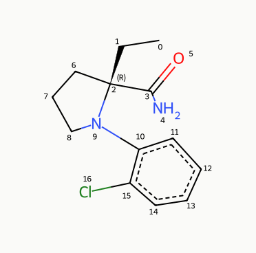 CC[C@]1(C(N)=O)CCCN1c1ccccc1Cl